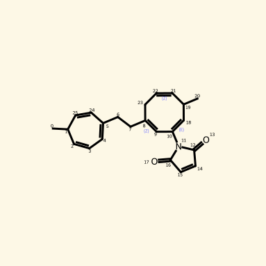 CC1C=CC=C(CC/C2=C/C(N3C(=O)C=CC3=O)=C\C(C)/C=C\C2)C=C1